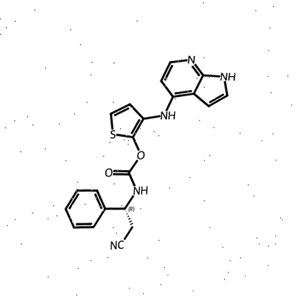 N#CC[C@@H](NC(=O)Oc1sccc1Nc1ccnc2[nH]ccc12)c1ccccc1